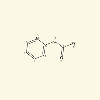 C[CH]C(=O)Oc1ccccn1